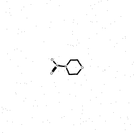 O=[N+]([O-])N1CCOCC1